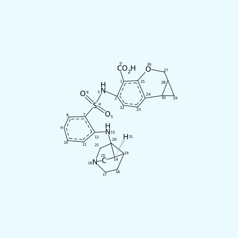 O=C(O)c1c(NS(=O)(=O)c2ccccc2N[C@@H]2CN3CCC2CC3)ccc2c1OCC1CC21